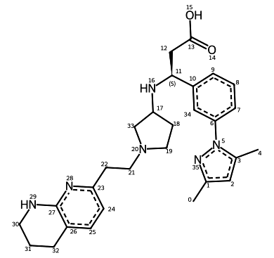 Cc1cc(C)n(-c2cccc([C@H](CC(=O)O)NC3CCN(CCc4ccc5c(n4)NCCC5)C3)c2)n1